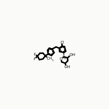 CC1(c2ccc(Cc3cc([C@@H]4OCC(O)CC4O)ccc3Cl)cc2)CCC(F)(F)CC1